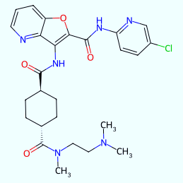 CN(C)CCN(C)C(=O)[C@H]1CC[C@H](C(=O)Nc2c(C(=O)Nc3ccc(Cl)cn3)oc3cccnc23)CC1